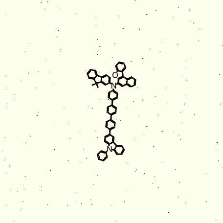 CC1(C)c2ccccc2-c2ccc(N(c3ccc(-c4ccc(-c5ccc(-c6ccc7c(c6)c6ccccc6n7-c6ccccc6)cc5)cc4)cc3)c3cc4ccccc4c4c3oc3ccccc34)cc21